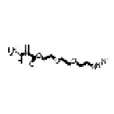 [N-]=[N+]=NCCOCCOCCOC(=O)NNN